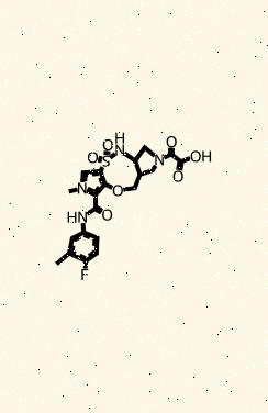 Cc1cc(NC(=O)c2c3c(cn2C)S(=O)(=O)NC2CN(C(=O)C(=O)O)CC2CO3)ccc1F